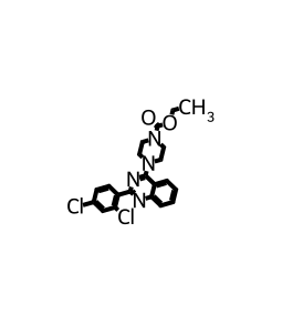 CCOC(=O)N1CCN(c2nc(-c3ccc(Cl)cc3Cl)nc3ccccc23)CC1